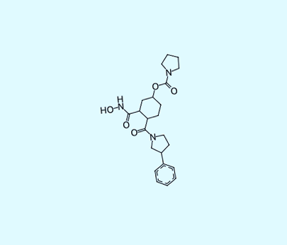 O=C(NO)C1CC(OC(=O)N2CCCC2)CCC1C(=O)N1CCC(c2ccccc2)C1